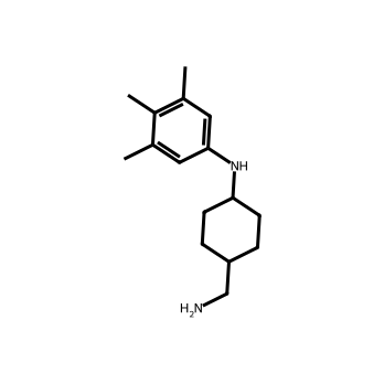 Cc1cc(NC2CCC(CN)CC2)cc(C)c1C